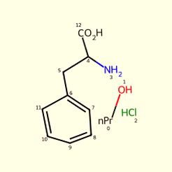 CCCO.Cl.NC(Cc1ccccc1)C(=O)O